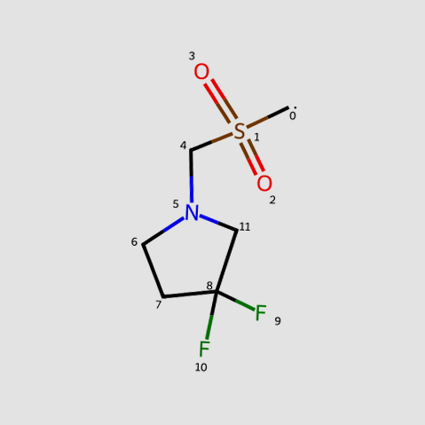 [CH2]S(=O)(=O)CN1CCC(F)(F)C1